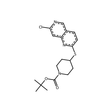 CC(C)(C)OC(=O)N1CCC(Sc2ccc3cnc(Cl)cc3n2)CC1